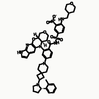 Cc1ccccc1[C@@H]1CCCN1C1CC2(CCN(c3ccc(C(=O)NS(=O)(=O)c4ccc(NCC5CCOCC5)c([N+](=O)[O-])c4)c(N4c5cc6cc[nH]c6nc5O[C@@H]5COCC[C@H]54)c3)CC2)C1